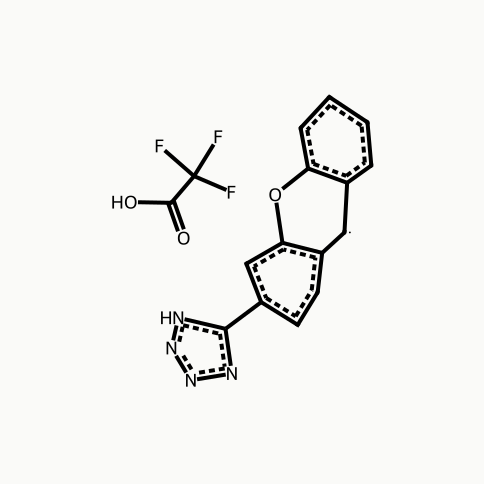 O=C(O)C(F)(F)F.[CH]1c2ccccc2Oc2cc(-c3nnn[nH]3)ccc21